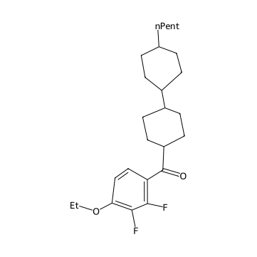 CCCCCC1CCC(C2CCC(C(=O)c3ccc(OCC)c(F)c3F)CC2)CC1